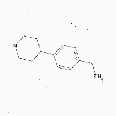 CCc1ccc(C2CC[N]CC2)cc1